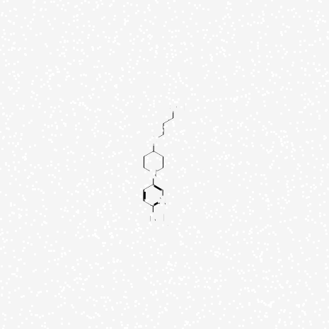 Nc1ccc(N2CCC(OCCCO)CC2)cn1